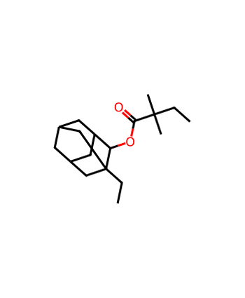 CCC(C)(C)C(=O)OC1C2CC3CC(C2)CC1(CC)C3